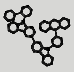 c1ccc(-c2ccccc2-n2c3ccccc3c3cc(-c4ccc5c6ccccc6n(-c6cccc(-c7c8ccccc8cc8ccccc78)c6)c5c4)ccc32)cc1